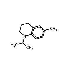 Cc1ccc2c(c1)CCCN2C(C)C